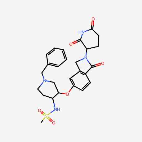 CS(=O)(=O)NC1CCN(Cc2ccccc2)CC1Oc1ccc2c(c1)CN(C1CCC(=O)NC1=O)C2=O